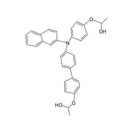 CC(O)Oc1ccc(-c2ccc(N(c3ccc(OC(C)O)cc3)c3ccc4ccccc4c3)cc2)cc1